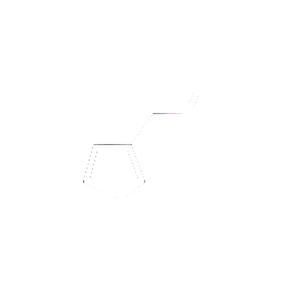 O=PCc1ccsc1